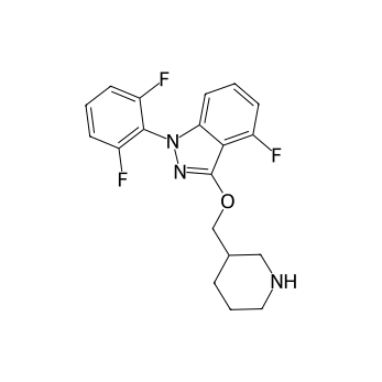 Fc1cccc(F)c1-n1nc(OCC2CCCNC2)c2c(F)cccc21